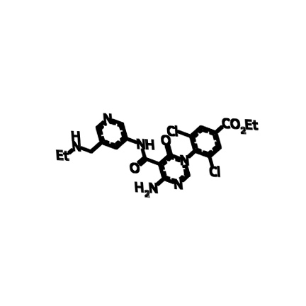 CCNCc1cncc(NC(=O)c2c(N)ncn(-c3c(Cl)cc(C(=O)OCC)cc3Cl)c2=O)c1